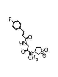 CN(C(=O)CNC(=O)/C=C/c1ccc(F)cc1)C1CCS(=O)(=O)C1